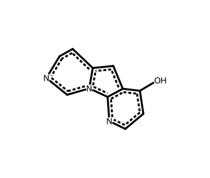 Oc1ccnc2c1cc1ccncn12